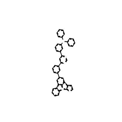 c1ccc(N(c2ccccc2)c2cccc(-c3cc(-c4cccc(-c5cc6c7ccccc7n7c8sccc8c(c5)c67)c4)ncn3)c2)cc1